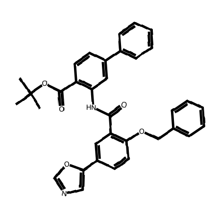 CC(C)(C)OC(=O)c1ccc(-c2ccccc2)cc1NC(=O)c1cc(-c2cnco2)ccc1OCc1ccccc1